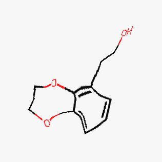 OCCc1cccc2c1OCCO2